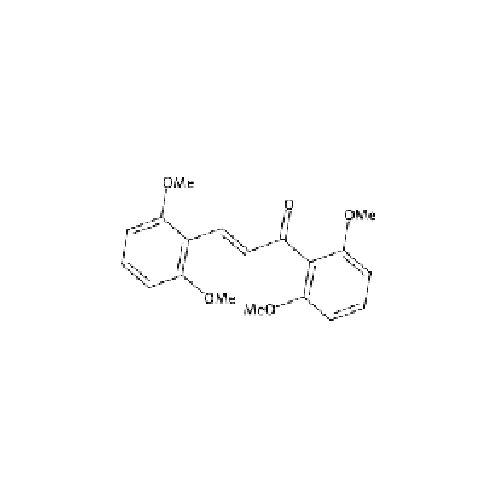 COc1cccc(OC)c1C=CC(=O)c1c(OC)cccc1OC